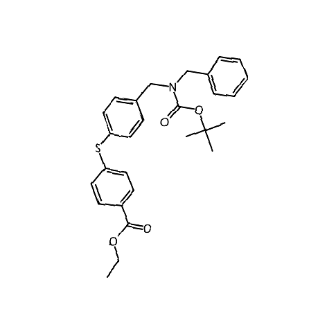 CCOC(=O)c1ccc(Sc2ccc(CN(Cc3ccccc3)C(=O)OC(C)(C)C)cc2)cc1